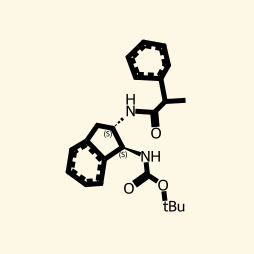 CC(C(=O)N[C@H]1Cc2ccccc2[C@@H]1NC(=O)OC(C)(C)C)c1ccccc1